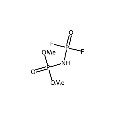 COP(=O)(NP(=O)(F)F)OC